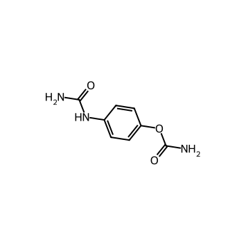 NC(=O)Nc1ccc(OC(N)=O)cc1